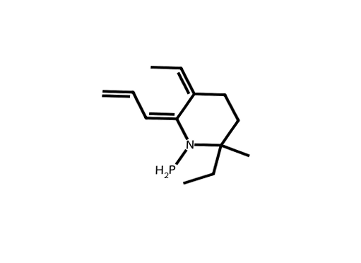 C=C/C=C1\C(=C/C)CCC(C)(CC)N1P